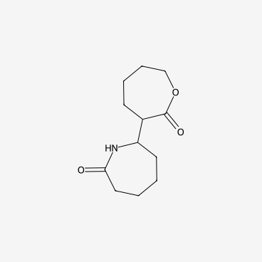 O=C1CCCCC(C2CCCCOC2=O)N1